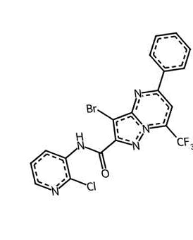 O=C(Nc1cccnc1Cl)c1nn2c(C(F)(F)F)cc(-c3ccccc3)nc2c1Br